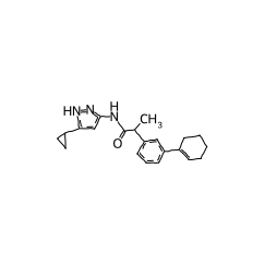 CC(C(=O)Nc1cc(C2CC2)[nH]n1)c1cccc(C2=CCCCC2)c1